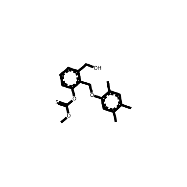 COC(=S)Oc1cccc(CO)c1COc1cc(C)c(C)cc1C